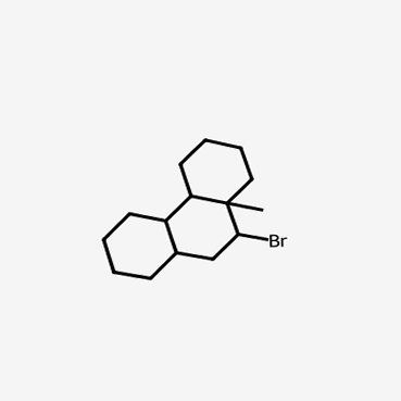 CC12CCCCC1C1CCCCC1CC2Br